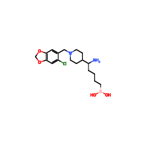 NC(CCCCB(O)O)C1CCN(Cc2cc3c(cc2Cl)OCO3)CC1